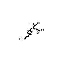 CCCCc1cnc(C[C@H](OCC(=O)O)[C@H](O)CO)cn1